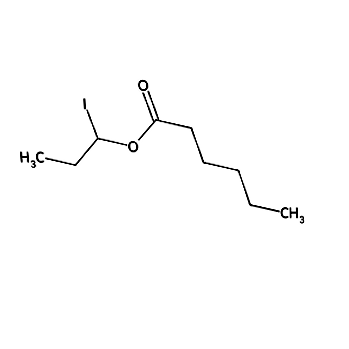 CCCCCC(=O)OC(I)CC